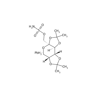 CC1(C)O[C@@H]2[C@@H](CO[C@@]3(COS(N)(=O)=O)OC(C)(C)O[C@@H]23)O1.[PbH2]